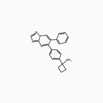 NC1(c2ccc(-c3nc4ncnn4cc3-c3ccccc3)cc2)CCC1